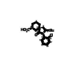 CC(C)(C)C1C[C@]2(CCCN(C(=O)O)C2)C(=O)N1c1ccccc1Cl